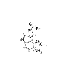 COc1c(N)ccc2ncn(CC(C)(F)F)c12